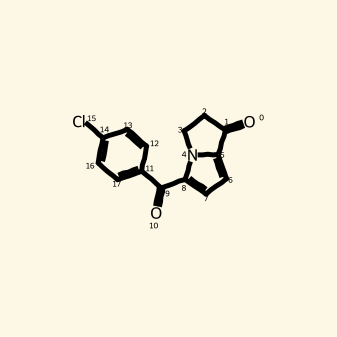 O=C1CCn2c1ccc2C(=O)c1ccc(Cl)cc1